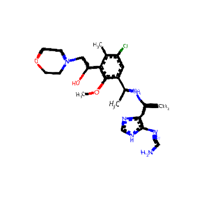 C=C(NC(C)c1cc(Cl)c(C)c(C(O)CN2CCOCC2)c1OC)c1nc[nH]c1/N=C\N